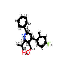 Cc1cc(F)ccc1-c1cc(-c2ccccc2)nc(C(C)C)c1CO